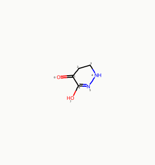 O=C1CCNN=C1O